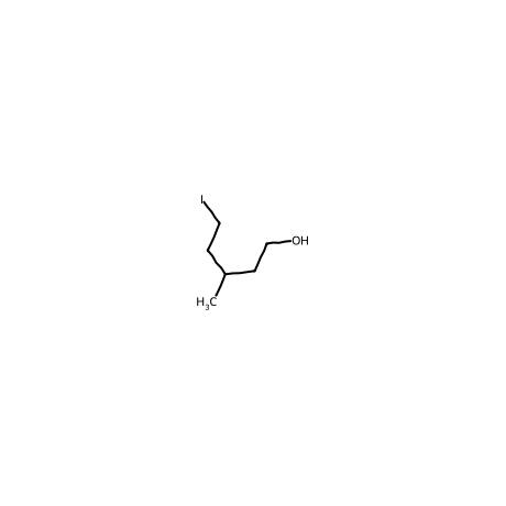 CC(CCO)CCI